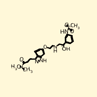 CN(C)C(=O)CCc1n[nH]c2cc(OCCNC[C@H](O)c3cccc(NS(C)(=O)=O)c3)ccc12